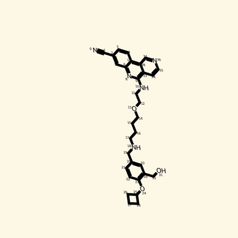 N#Cc1ccc2c(c1)nc(NCCOCCCCNCc1ccc(OC3CCC3)c(CO)c1)c1ccncc12